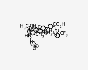 C=C(C)[C@@H]1CC[C@]2(NCCN3CCS(=O)(=O)CC3)CC[C@]3(C)[C@H](CC[C@@]4(C)[C@@]3(C)CC[C@H]3C(C)(C)C(C5=CCC(CCOc6ncccc6C(F)(F)F)(C(=O)O)CC5)=CC[C@@]34C)[C@@H]12